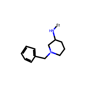 CCNC1CCCN(Cc2ccccc2)C1